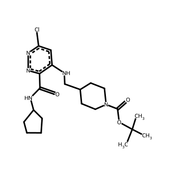 CC(C)(C)OC(=O)N1CCC(CNc2cc(Cl)nnc2C(=O)NC2CCCC2)CC1